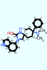 CN(C)[C@]1(c2ccccc2)CC[C@]2(CC1)CN(c1cccc3[nH]ccc13)C(O)N2